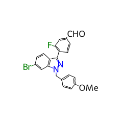 COc1ccc(Cn2nc(-c3ccc(C=O)cc3F)c3ccc(Br)cc32)cc1